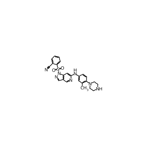 Cc1cc(Nc2cc3c(cn2)cnn3S(=O)(=O)c2ccccc2C#N)ccc1N1CCNCC1